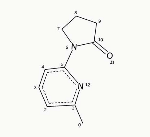 Cc1cccc(N2CCCC2=O)n1